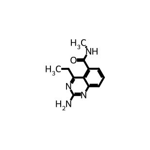 CCc1nc(N)nc2cccc(C(=O)NC)c12